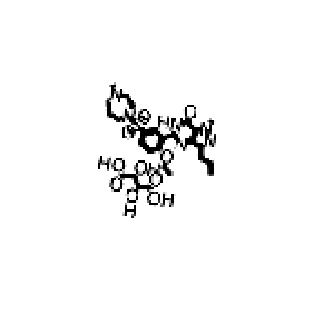 CCCc1nn(C)c2c(=O)[nH]c(-c3cc(S(=O)(=O)N4CCCN(C)CC4)ccc3OCC)nc12.O=C(O)C(O)C(O)C(=O)O